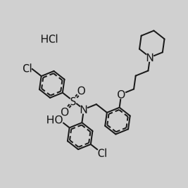 Cl.O=S(=O)(c1ccc(Cl)cc1)N(Cc1ccccc1OCCCN1CCCCC1)c1cc(Cl)ccc1O